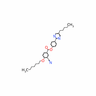 CCCCCCCOc1ccc(C(=O)Oc2ccc(-c3ncc(CCCCC)cn3)cc2)cc1C#N